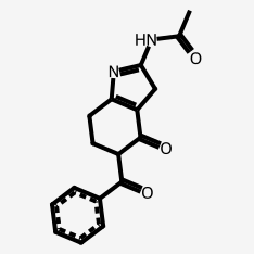 CC(=O)NC1=NC2=C(C1)C(=O)C(C(=O)c1ccccc1)CC2